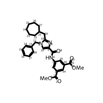 COC(=O)c1cc(NC(=O)c2cn(Cc3ccccc3)c(CC3CCCCCC3)n2)cc(C(=O)OC)c1